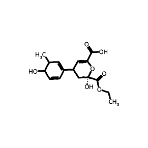 CCOC(=O)[C@@]1(O)CC(C2=CC(C)C(O)C=C2)C=C(C(=O)O)O1